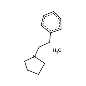 O.c1ccc(CCN2CCCC2)cc1